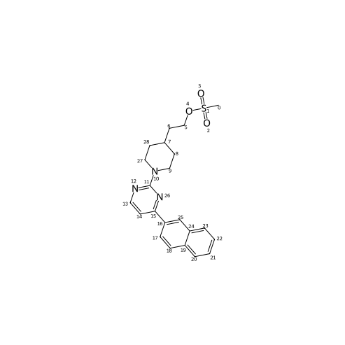 CS(=O)(=O)OCCC1CCN(c2nccc(-c3ccc4ccccc4c3)n2)CC1